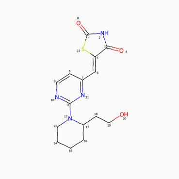 O=C1NC(=O)/C(=C/c2ccnc(N3CCCCC3CCO)n2)S1